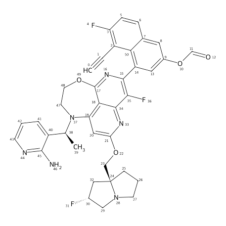 C#Cc1c(F)ccc2cc(OC=O)cc(-c3nc4c5c(cc(OC[C@@]67CCCN6C[C@H](F)C7)nc5c3F)N([C@@H](C)c3cccnc3N)CCO4)c12